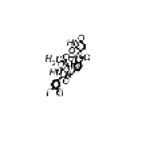 CC(C)(C)OC(=O)NC(C(=O)NCc1ccc2c(c1)CN(C1CCC(=O)NC1=O)C2=O)c1ccc(F)c(Cl)c1